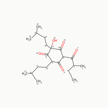 CCC(C)C(=O)C1C(=O)C(CCC(C)C)C(=O)C(O)(CCC(C)C)C1=O